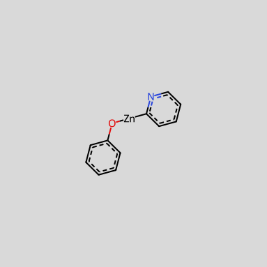 c1ccc([O][Zn][c]2ccccn2)cc1